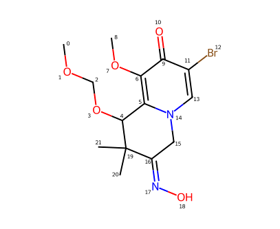 COCOC1c2c(OC)c(=O)c(Br)cn2C/C(=N\O)C1(C)C